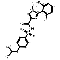 CC(C)Cc1ccc(S(=O)(=O)NC(=O)c2cn(C)c(-c3c(F)cccc3F)n2)cc1